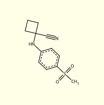 CS(=O)(=O)c1ccc(NC2(C#N)CCC2)cc1